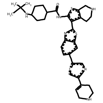 CC(C)(C)NC1CCC(C(=O)Nc2sc3c(c2-c2nc4ccc(-c5ccc(C6=CCNCC6)nc5)cc4s2)CCNC3)CC1